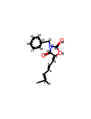 CC(C)=C/C=C/C=C1/OC(=O)N(Cc2ccccc2)C1=O